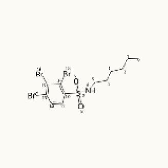 CCCCCCNS(=O)(=O)c1ccc(Br)c(Br)c1Br